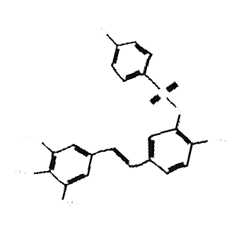 COc1ccc(C=Cc2cc(OC)c(OC)c(OC)c2)cc1NS(=O)(=O)c1ccc([N+](=O)[O-])cc1